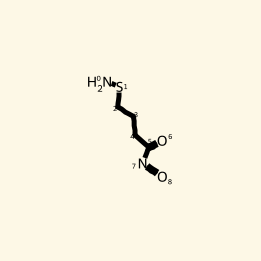 NSCCCC(=O)N=O